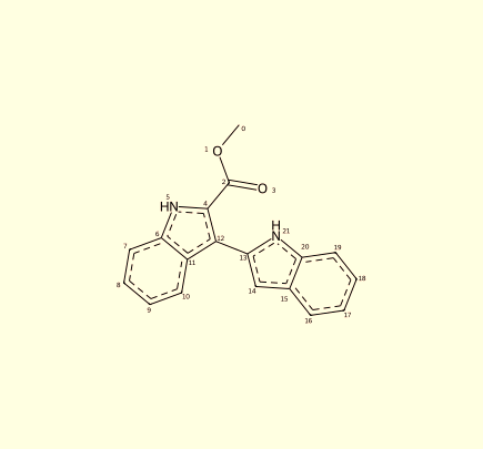 COC(=O)c1[nH]c2ccccc2c1-c1cc2ccccc2[nH]1